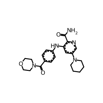 NC(=O)c1ncc(N2CCCCC2)cc1Nc1ccc(C(=O)N2CCOCC2)cc1